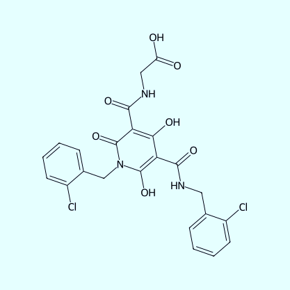 O=C(O)CNC(=O)c1c(O)c(C(=O)NCc2ccccc2Cl)c(O)n(Cc2ccccc2Cl)c1=O